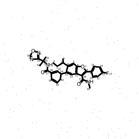 CCC(C)c1cc2oc(-c3ccc(F)cc3)c(C(=O)NC)c2cc1C1C=C(C(=O)NC(C)(C)c2ncon2)C=CC1